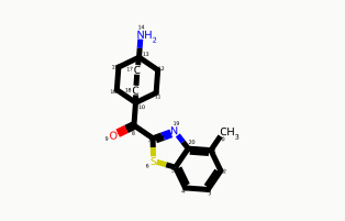 Cc1cccc2sc(C(=O)C34CCC(N)(CC3)CC4)nc12